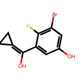 OC(=C1CC1)c1cc(O)cc(Br)c1F